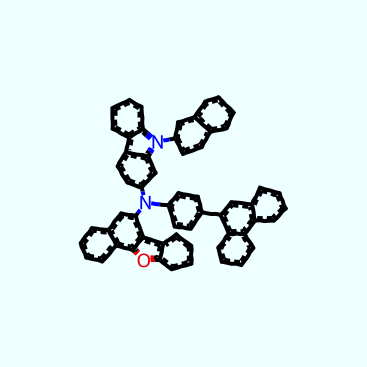 c1ccc2cc(-n3c4ccccc4c4ccc(N(c5ccc(-c6cc7ccccc7c7ccccc67)cc5)c5cc6ccccc6c6oc7ccccc7c56)cc43)ccc2c1